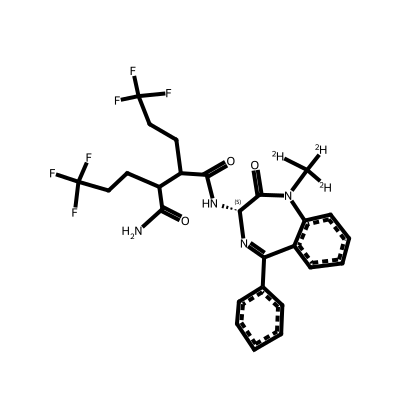 [2H]C([2H])([2H])N1C(=O)[C@@H](NC(=O)C(CCC(F)(F)F)C(CCC(F)(F)F)C(N)=O)N=C(c2ccccc2)c2ccccc21